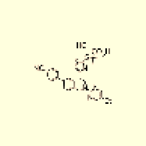 CCc1cnc(N(CCc2csc(SC(C)(C)C(=O)O)n2)Cc2ccc(-c3ccc(C#N)cc3)cc2)nc1.Cl